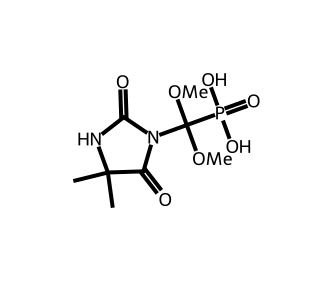 COC(OC)(N1C(=O)NC(C)(C)C1=O)P(=O)(O)O